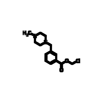 CN1CCN(Cc2cccc(C(=O)OCCl)c2)CC1